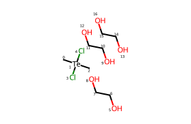 C[Te](C)(Cl)Cl.OCCO.OCCO.OCCO